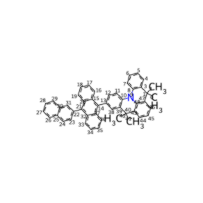 CC1(C)c2ccccc2N2c3ccc(-c4c5ccccc5c(-c5ccc6ccccc6c5)c5ccccc45)cc3C(C)(C)c3cccc1c32